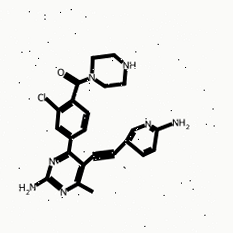 Cc1nc(N)nc(-c2ccc(C(=O)N3CCNCC3)c(Cl)c2)c1C#Cc1ccc(N)nc1